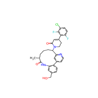 CC1CCCC(N2CCC(c3c(F)ccc(Cl)c3F)=CC2=O)c2cc(ccn2)-c2ccc(CO)cc2NC1=O